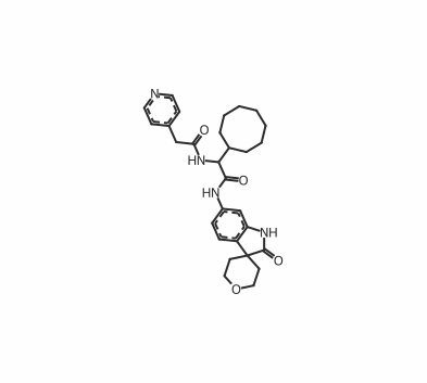 O=C(Cc1ccncc1)NC(C(=O)Nc1ccc2c(c1)NC(=O)C21CCOCC1)C1CCCCCCC1